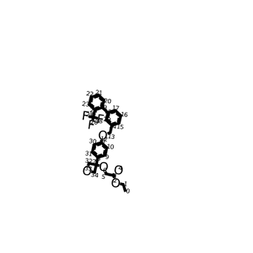 CCOC(=O)COC1(c2ccc(OCc3cccc(-c4ccccc4C(F)(F)F)c3)cc2)COC1